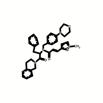 Cn1ccc(C=CC(=O)N(Cc2ccc(N3CCOCC3)cc2)C(Cc2ccccc2)C(=O)N2CCc3ccccc3C2)n1